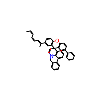 C\C=C/C=C\C=C(/C)c1ccc2c(c1)C1(c3cc(-c4ccccc4)ccc3O2)c2ccccc2N2Cc3ccccc3-c3cccc1c32